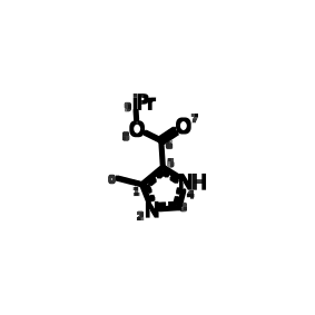 Cc1nc[nH]c1C(=O)OC(C)C